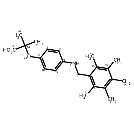 Cc1c(C)c(C)c(CNc2ccc(OC(C)(C)C(=O)O)cc2)c(C)c1C